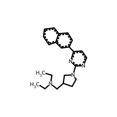 CCN(CC)CC1CCN(c2nccc(-c3ccc4ccccc4c3)n2)C1